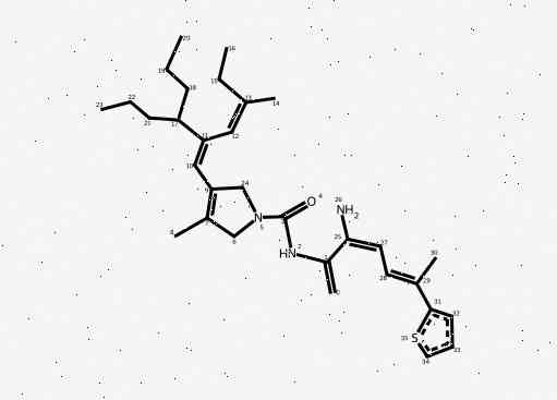 C=C(NC(=O)N1CC(C)=C(/C=C(\C=C(\C)CC)C(CCC)CCC)C1)/C(N)=C\C=C(/C)c1cccs1